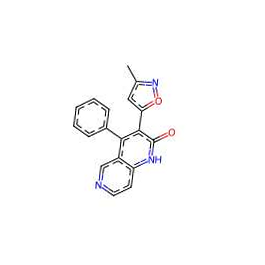 Cc1cc(-c2c(-c3ccccc3)c3cnccc3[nH]c2=O)on1